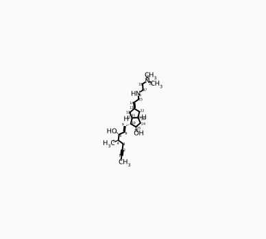 CC#CC[C@@H](C)[C@H](O)/C=C/[C@@H]1[C@H]2C/C(=C/CNCCN(C)C)C[C@H]2C[C@H]1O